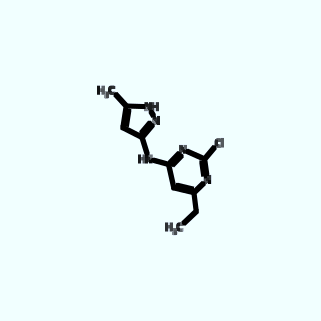 CCc1cc(Nc2cc(C)[nH]n2)nc(Cl)n1